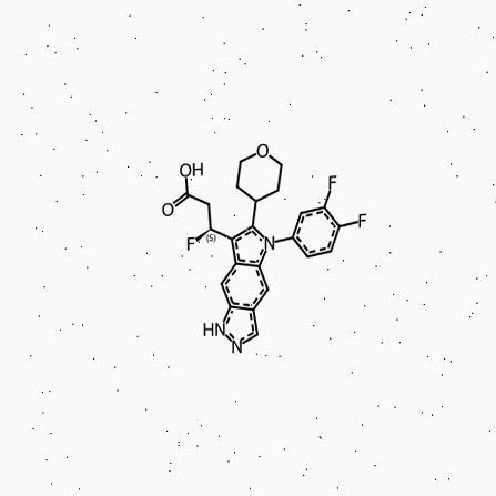 O=C(O)C[C@H](F)c1c(C2CCOCC2)n(-c2ccc(F)c(F)c2)c2cc3cn[nH]c3cc12